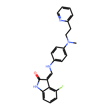 CN(CCc1ccccn1)c1ccc(N/C=C2\C(=O)Nc3cccc(F)c32)cc1